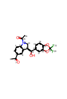 CC(=O)c1ccc2c(c1)C(=C(O)c1ccc3c(c1)OC(F)(F)O3)CN2C(C)=O